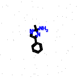 CC1(N)N=CC(c2ccccc2)=N1